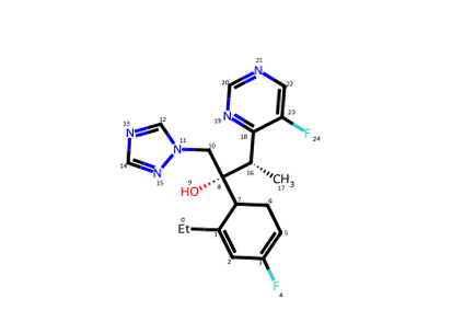 CCC1=CC(F)=CCC1[C@@](O)(Cn1cncn1)[C@@H](C)c1ncncc1F